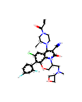 C=CC(=O)N1CCN(c2c(C#N)c(=O)n3c4c(c(-c5ccc(F)cc5F)c(Cl)cc24)OCC3CN(C)C2COC2)[C@@H](C)C1